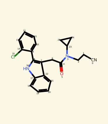 N#CCCN(C(=O)Cc1c(-c2ccccc2Cl)[nH]c2ccccc12)C1CC1